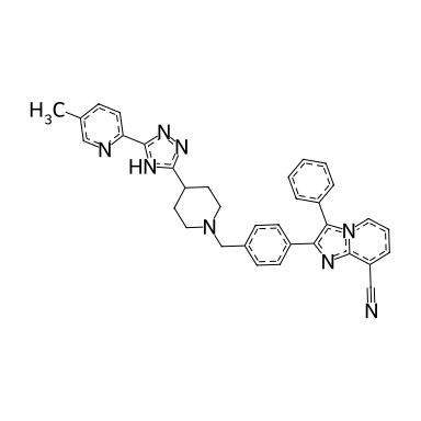 Cc1ccc(-c2nnc(C3CCN(Cc4ccc(-c5nc6c(C#N)cccn6c5-c5ccccc5)cc4)CC3)[nH]2)nc1